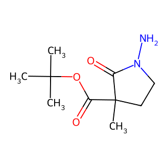 CC(C)(C)OC(=O)C1(C)CCN(N)C1=O